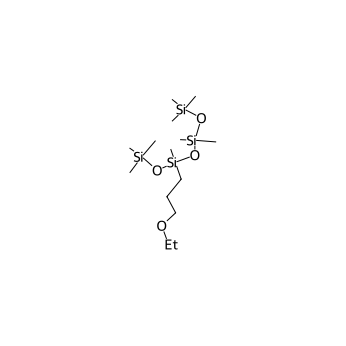 CCOCCC[Si](C)(O[Si](C)(C)C)O[Si](C)(C)O[Si](C)(C)C